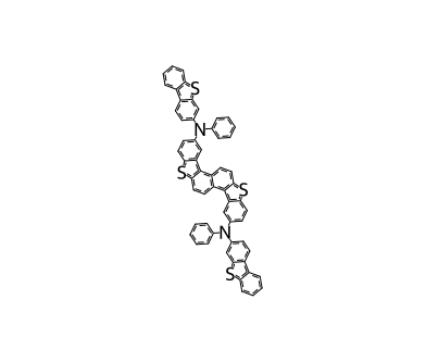 c1ccc(N(c2ccc3c(c2)sc2ccccc23)c2ccc3sc4ccc5c(ccc6sc7ccc(N(c8ccccc8)c8ccc9c(c8)sc8ccccc89)cc7c65)c4c3c2)cc1